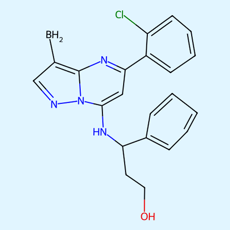 Bc1cnn2c(NC(CCO)c3ccccc3)cc(-c3ccccc3Cl)nc12